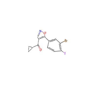 O=C(c1cnoc1-c1ccc(I)c(Br)c1)C1CC1